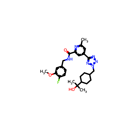 COc1cc(CNC(=O)c2cc(-c3nnn(CC4CCC(C(C)(C)O)CC4)n3)cc(C)n2)ccc1F